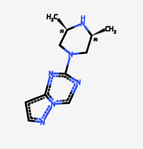 C[C@@H]1CN(c2ncn3nccc3n2)C[C@H](C)N1